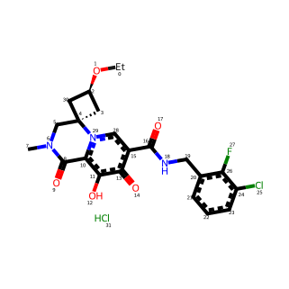 CCO[C@H]1C[C@]2(CN(C)C(=O)c3c(O)c(=O)c(C(=O)NCc4cccc(Cl)c4F)cn32)C1.Cl